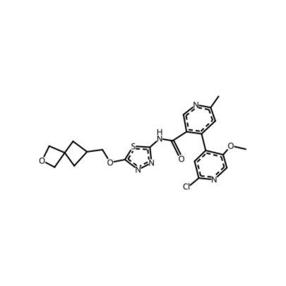 COc1cnc(Cl)cc1-c1cc(C)ncc1C(=O)Nc1nnc(OCC2CC3(COC3)C2)s1